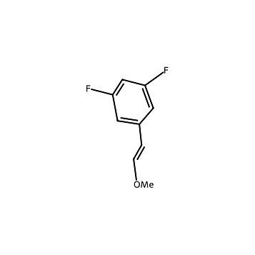 CO/C=C/c1cc(F)cc(F)c1